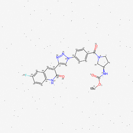 CC(C)(C)OC(=O)N[C@@H]1CCN(C(=O)c2ccc(-n3cc(-c4cc5cc(F)ccc5[nH]c4=O)nn3)cc2)C1